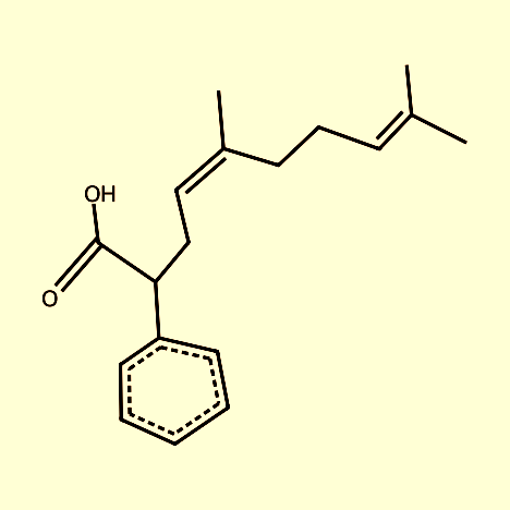 CC(C)=CCC/C(C)=C\CC(C(=O)O)c1ccccc1